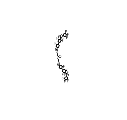 O=C(CCCCOc1ccc(-c2cc(F)c(C(F)(F)Oc3cc(F)c(F)c(F)c3)c(F)c2)c(F)c1)CCCCOc1ccc(-c2cc(F)c(C(F)(F)Oc3cc(F)c(F)c(F)c3)c(F)c2)c(F)c1